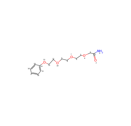 NC(=O)COCCOCCOCCOc1ccccc1